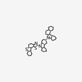 c1ccc2c(c1)ccc1c2c2ccccc2n1-c1ccc2c(c1)c1ccccc1n2-c1nc2ccc3sc4ccccc4c3c2s1